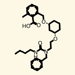 CCCCNC(=O)N(CCO[C@H]1CCC[C@@H](OCc2cccc(C)c2C(=O)O)C1)Cc1ccccc1